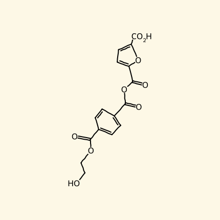 O=C(OCCO)c1ccc(C(=O)OC(=O)c2ccc(C(=O)O)o2)cc1